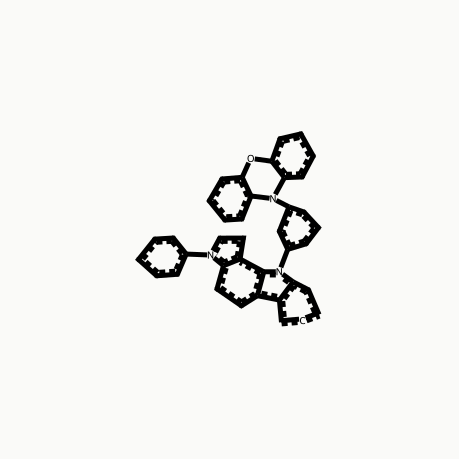 c1ccc(-n2ccc3c2ccc2c4ccccc4n(-c4cccc(N5c6ccccc6Oc6ccccc65)c4)c23)cc1